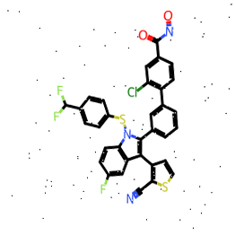 N#Cc1sccc1-c1c(-c2cccc(-c3ccc(C(=O)N=O)cc3Cl)c2)n(Sc2ccc(C(F)F)cc2)c2ccc(F)cc12